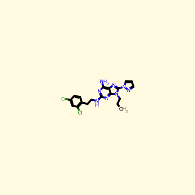 CCCn1c(-n2cccn2)nc2c(N)nc(NCCc3ccc(Cl)cc3Cl)nc21